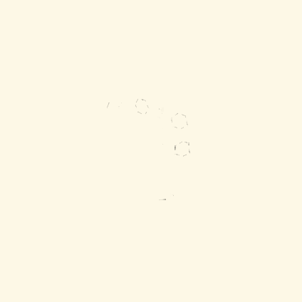 CC(=O)O[C@@H]1COc2cc(N[C@@H]3COc4c(-c5c(C)cc(OCCCN6CCCC6=O)cc5C)cccc43)ccc21